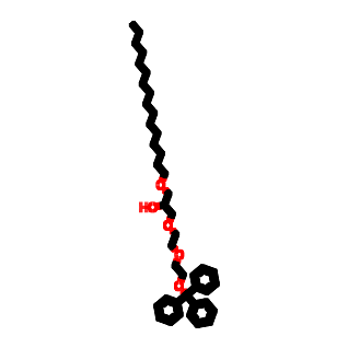 CCCCCCCCCCCCCCCCOCC(O)COCCOCCOC(c1ccccc1)(c1ccccc1)c1ccccc1